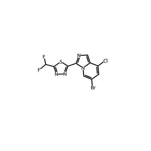 FC(F)c1nnc(-c2ncc3c(Cl)cc(Br)cn23)s1